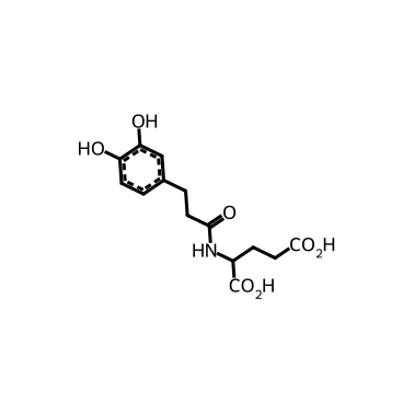 O=C(O)CCC(NC(=O)CCc1ccc(O)c(O)c1)C(=O)O